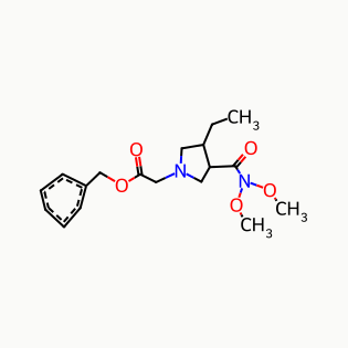 CCC1CN(CC(=O)OCc2ccccc2)CC1C(=O)N(OC)OC